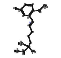 CNC(C)(C)CCC/C=C/c1cc(I)ccc1OC